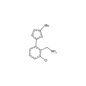 CC(C)(C)c1ccc(-c2cccc(Cl)c2CN)s1